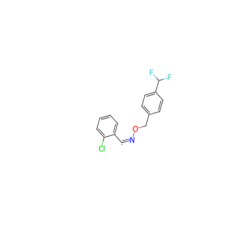 FC(F)c1ccc(CO/N=[C]\c2ccccc2Cl)cc1